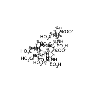 O=C(O)CCC(NCCc1c(NCC(=O)O)cccc1C(=O)[O-])C(=O)O.O=C(O)CCC(NCCc1c(NCC(=O)O)cccc1C(=O)[O-])C(=O)O.O=C(O)CCC(NCCc1c(NCC(=O)O)cccc1C(=O)[O-])C(=O)O.[Fe+3]